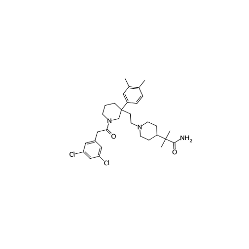 Cc1ccc(C2(CCN3CCC(C(C)(C)C(N)=O)CC3)CCCN(C(=O)Cc3cc(Cl)cc(Cl)c3)C2)cc1C